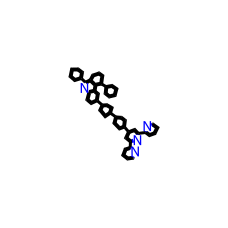 c1ccc(-c2nc3ccc(-c4ccc(-c5ccc(-c6cc(-c7ccccn7)nc(-c7ccccn7)c6)cc5)cc4)cc3c3c(-c4ccccc4)cccc23)cc1